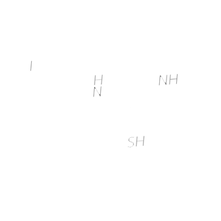 N=C(S)N/C=C\I